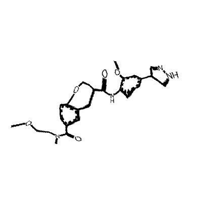 COCCN(C)C(=O)c1ccc2c(c1)CC(C(=O)Nc1ccc(C3C=NNC3)cc1OC)CO2